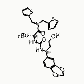 CCCC[C@@H](NC(=O)N[C@@H](CCO)c1ccc2c(c1)OCO2)C(=O)N(Cc1cccs1)Cc1cccs1